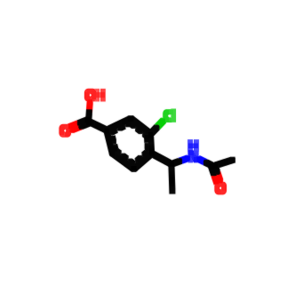 CC(=O)NC(C)c1ccc(C(=O)O)cc1Cl